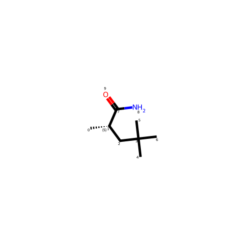 C[C@@H](CC(C)(C)C)C(N)=O